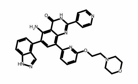 Nc1c(-c2cccc3[nH]ncc23)cc(-c2cccc(OCCN3CCOCC3)n2)c2nc(-c3ccncc3)[nH]c(=O)c12